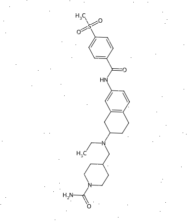 CCN(CC1CCN(C(N)=O)CC1)C1CCc2ccc(NC(=O)c3ccc(S(C)(=O)=O)cc3)cc2C1